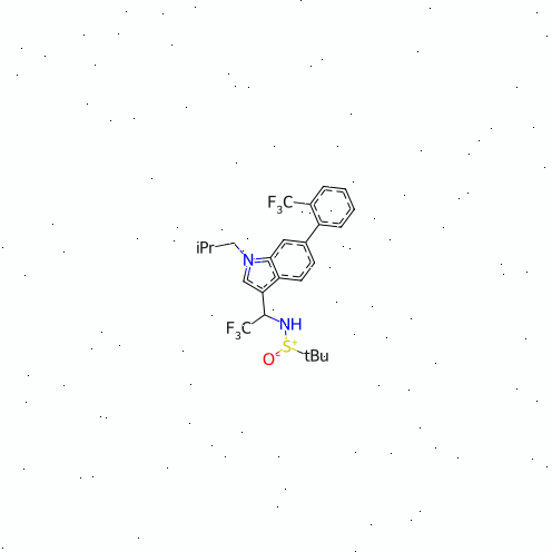 CC(C)Cn1cc(C(N[S+]([O-])C(C)(C)C)C(F)(F)F)c2ccc(-c3ccccc3C(F)(F)F)cc21